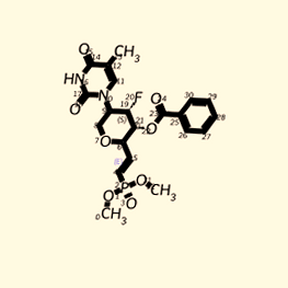 COP(=O)(/C=C/C1OCC(n2cc(C)c(=O)[nH]c2=O)[C@H](F)[C@@H]1OC(=O)c1ccccc1)OC